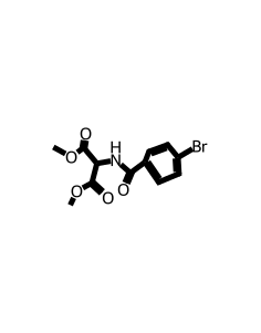 COC(=O)C(NC(=O)c1ccc(Br)cc1)C(=O)OC